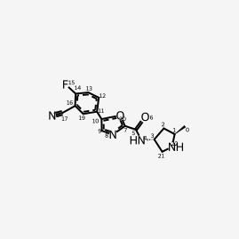 C[C@@H]1C[C@@H](NC(=O)c2ncc(-c3ccc(F)c(C#N)c3)o2)CN1